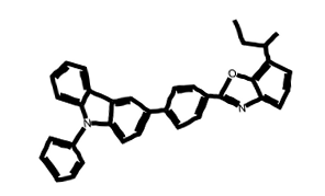 CCC(C)c1cccc2nc(-c3ccc(-c4ccc5c(c4)c4ccccc4n5-c4ccccc4)cc3)oc12